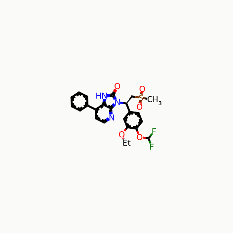 CCOc1cc([C@H](CS(C)(=O)=O)n2c(=O)[nH]c3c(-c4ccccc4)ccnc32)ccc1OC(F)F